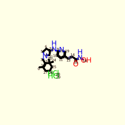 CC1=C(CN2CC[C@@H](Nc3ccc(/C=C/C(=O)NO)cn3)C2)C(C)(C)CCC1.Cl.Cl